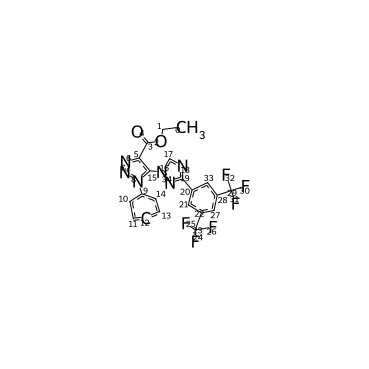 CCOC(=O)c1nnn(-c2ccccc2)c1-n1cnc(-c2cc(C(F)(F)F)cc(C(F)(F)F)c2)n1